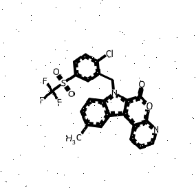 Cc1ccc2c(c1)c1c3cccnc3oc(=O)c1n2Cc1cc(S(=O)(=O)C(F)(F)F)ccc1Cl